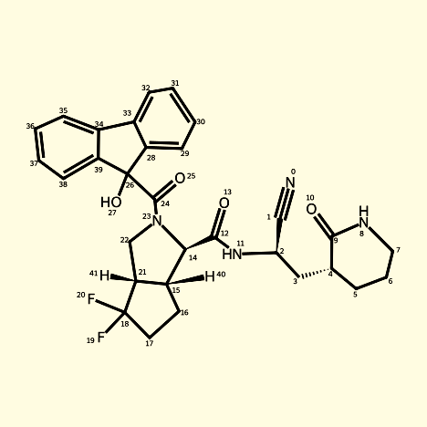 N#C[C@@H](C[C@H]1CCCNC1=O)NC(=O)[C@H]1[C@@H]2CCC(F)(F)[C@@H]2CN1C(=O)C1(O)c2ccccc2-c2ccccc21